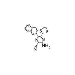 N#Cc1nc(-c2ccc3ncccc3c2)c(C2C#CC=CS2)nc1N